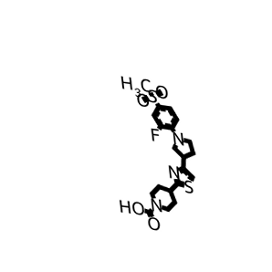 CS(=O)(=O)c1ccc(N2CCC(c3csc(C4CCN(C(=O)O)CC4)n3)C2)c(F)c1